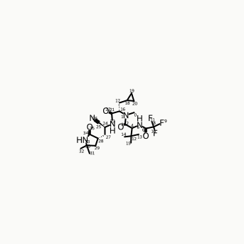 CN(C(=O)C(NC(=O)C(F)(F)F)C(C)(C)C)[C@@H](CC1CC1)C(=O)N[C@H](C#N)C[C@@H]1CC(C)(C)NC1=O